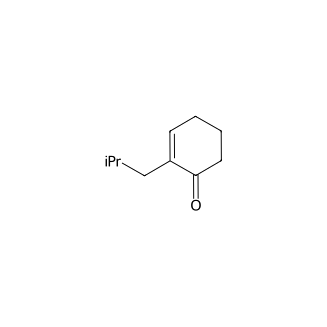 CC(C)CC1=CCCCC1=O